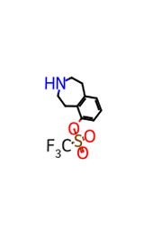 O=S(=O)(Oc1cccc2c1CCNCC2)C(F)(F)F